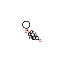 C[C@]12CC[C@H]3[C@@H](CCC4CC(=O)CC[C@@]43C)[C@@H]1CC[C@@H]2OC(=O)C1CCCCCCCCCCC1